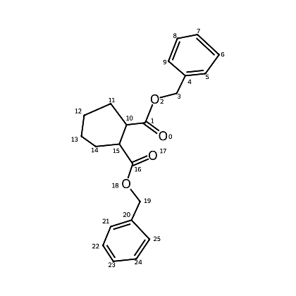 O=C(OCc1ccccc1)C1CCCCC1C(=O)OCc1ccccc1